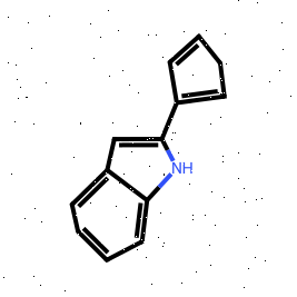 C1=CC(c2cc3ccccc3[nH]2)=CC1